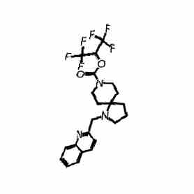 O=C(OC(C(F)(F)F)C(F)(F)F)N1CCC2(CCCN2Cc2ccc3ccccc3n2)CC1